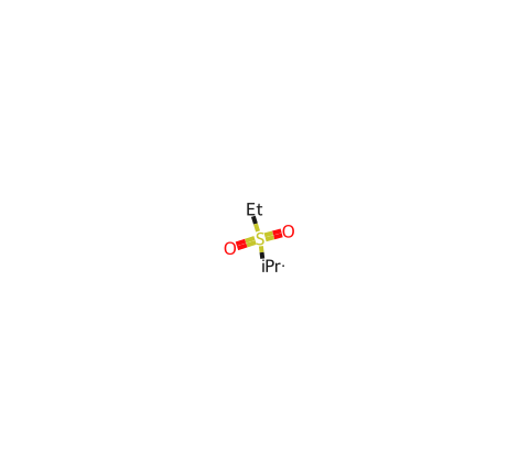 CCS(=O)(=O)[C](C)C